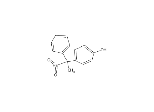 CC(c1ccccc1)(c1ccc(O)cc1)[SH](=O)=O